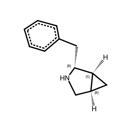 c1ccc(C[C@H]2NC[C@@H]3C[C@@H]32)cc1